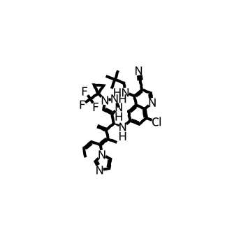 C=C(/C(C)=C(\C=C/C)n1ccnc1)[C@H](Nc1cc(Cl)c2ncc(C#N)c(NCC(C)(C)C)c2c1)C1=CN(C2(C(F)(F)F)CC2)NN1